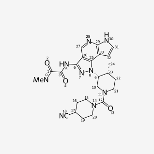 CNC(=O)C(=O)Nc1nn([C@H]2CN(C(=O)N3CCC(C#N)CC3)CC[C@H]2C)c2c1cnc1[nH]ccc12